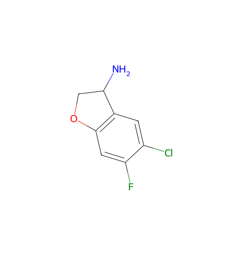 NC1COc2cc(F)c(Cl)cc21